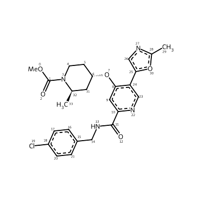 COC(=O)N1CC[C@H](Oc2cc(C(=O)NCc3ccc(Cl)cc3)ncc2-c2cnc(C)o2)C[C@H]1C